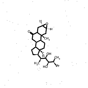 CC(C)[C@H](C)[C@@H](O)[C@H](O)[C@@H](C)[C@H]1CCC2C3CC(=O)C4C[C@H]5O[C@H]5C[C@]4(C)C3CC[C@@]21C